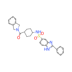 O=C(C1CCC(NS(=O)(=O)c2ccc3[nH]c(-c4ccccc4)nc3c2)CC1)N1Cc2ccccc2C1